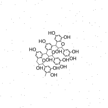 Cc1cc(C2Oc3c(cc(O)cc3C3c4cc(O)cc(C5c6cc(O)cc(O)c6OC(c6ccc(O)c(O)c6)C5O)c4OC(c4ccc(O)c(O)c4)C3O)CC2O)cc(O)c1O